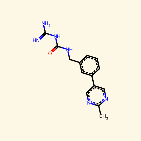 Cc1ncc(-c2cccc(CNC(=O)NC(=N)N)c2)cn1